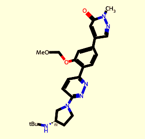 COCOc1cc(-c2cnn(C)c(=O)c2)ccc1-c1ccc(N2CC[C@H](NC(C)(C)C)C2)nn1